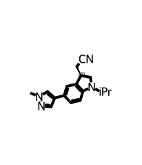 CC(C)N1C[C@H](CC#N)c2cc(-c3cnn(C)c3)ccc21